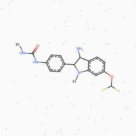 CCN1c2cc(OC(F)F)ccc2C(N)C1c1ccc(NC(=O)NC(C)C)cc1